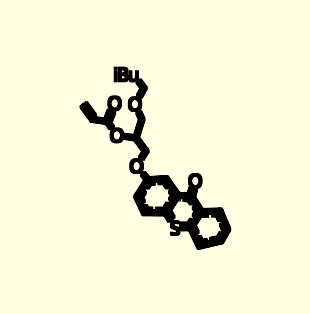 C=CC(=O)OC(COCC(C)CC)COc1ccc2sc3ccccc3c(=O)c2c1